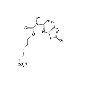 CC(C)N(C(=O)OCCCCCC(=O)O)c1ccc2nc(S)sc2n1